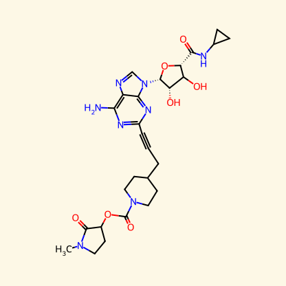 CN1CCC(OC(=O)N2CCC(CC#Cc3nc(N)c4ncn([C@@H]5O[C@H](C(=O)NC6CC6)C(O)[C@@H]5O)c4n3)CC2)C1=O